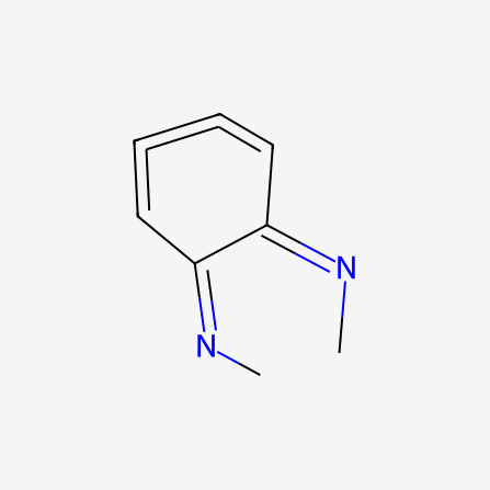 C/N=C1/C=C=C=C/C1=N/C